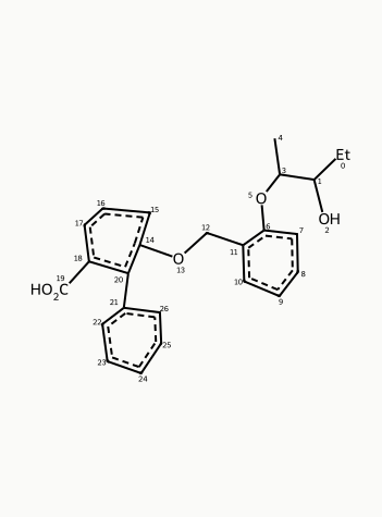 CCC(O)C(C)Oc1ccccc1COc1cccc(C(=O)O)c1-c1ccccc1